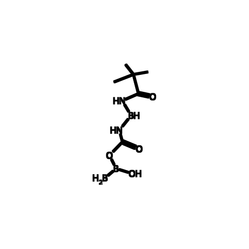 BB(O)OC(=O)NBNC(=O)C(C)(C)C